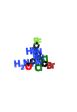 NC(=O)[C@H]1CC[C@H](n2c(Nc3c(Cl)cc(Br)cc3Cl)nc3cnc(NC4CCC(F)(F)CC4)nc32)CC1